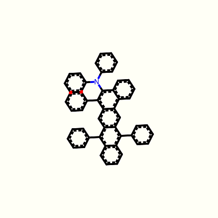 c1ccc(-c2c3ccccc3c(-c3ccccc3)c3cc4c(cc23)c(-c2ccccc2)c(N(c2ccccc2)c2ccccc2)c2ccccc24)cc1